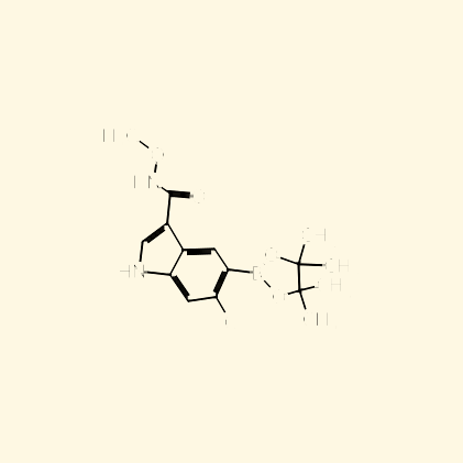 CONC(=O)c1c[nH]c2cc(Cl)c(B3OC(C)(C)C(C)(C)O3)cc12